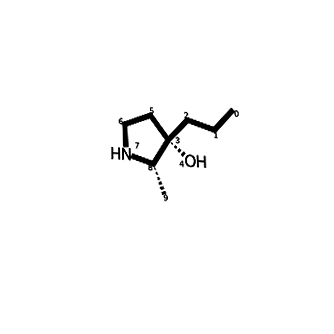 CCC[C@]1(O)CCN[C@H]1C